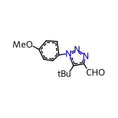 COc1ccc(-n2nnc(C=O)c2C(C)(C)C)cc1